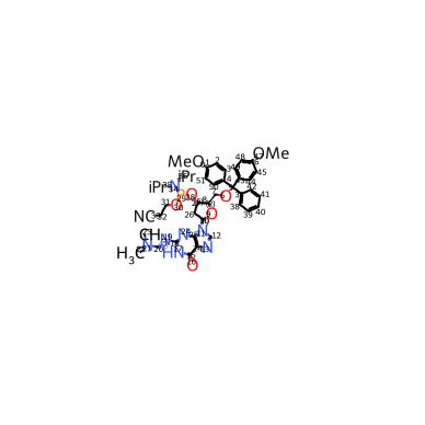 COc1ccc(C(OC[C@H]2O[C@@H](n3cnc4c(=O)[nH]c(/N=C/N(C)C)nc43)C[C@@H]2OP(OCCC#N)N(C(C)C)C(C)C)(c2ccccc2)c2ccc(OC)cc2)cc1